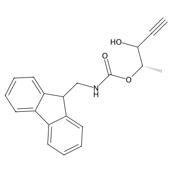 C#CC(O)[C@H](C)OC(=O)NCC1c2ccccc2-c2ccccc21